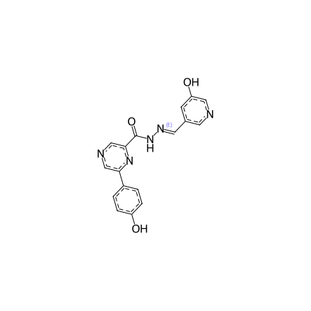 O=C(N/N=C/c1cncc(O)c1)c1cncc(-c2ccc(O)cc2)n1